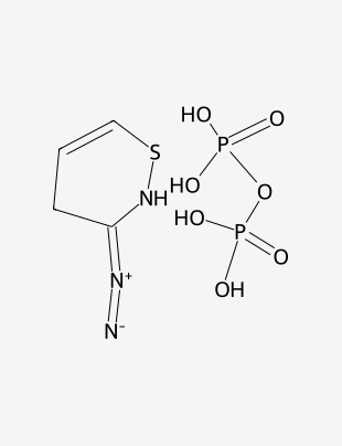 O=P(O)(O)OP(=O)(O)O.[N-]=[N+]=C1CC=CSN1